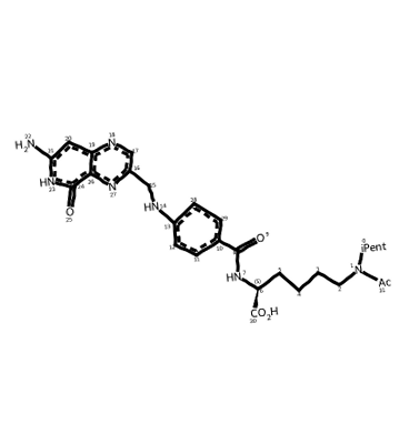 CCCC(C)N(CCCC[C@H](NC(=O)c1ccc(NCc2cnc3cc(N)[nH]c(=O)c3n2)cc1)C(=O)O)C(C)=O